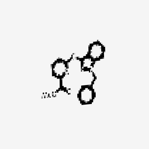 COC(=O)c1cccc(Oc2nn(Cc3ccccc3)c3ccccc23)n1